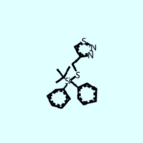 CC(C)(C)[Si](SCc1csnn1)(c1ccccc1)c1ccccc1